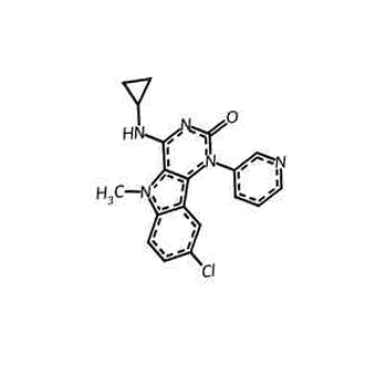 Cn1c2ccc(Cl)cc2c2c1c(NC1CC1)nc(=O)n2-c1cccnc1